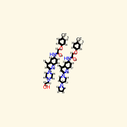 Cc1cc(N2CCC(N3CCCC3)CC2)nc2ccc(NC(=O)COc3ccc(C(F)(F)F)cc3)cc12.Cc1cc(N2CCN(CCO)CC2)nc2ccc(NC(=O)COc3ccc(C(F)(F)F)cc3)cc12